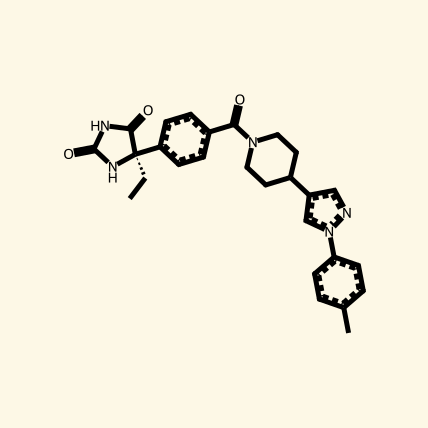 CC[C@]1(c2ccc(C(=O)N3CCC(c4cnn(-c5ccc(C)cc5)c4)CC3)cc2)NC(=O)NC1=O